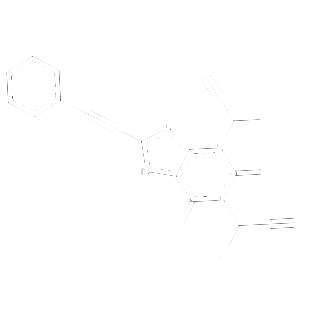 C#CC(C)n1c(=O)c2[nH]c(C#Cc3ccccc3)nc2n(C(C)C#C)c1=O